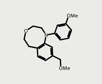 COCc1ccc2c(c1)N(c1cccc(OC)c1)CCOCC2